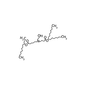 CCCCCCCCC(CCC)OC(=O)CCCCCN(CCO)CCCC(=O)OC(CCCCCCCC)CCCCCCCC